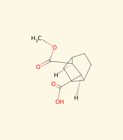 COC(=O)[C@H]1C2CCC(CC2)[C@H]1C(=O)O